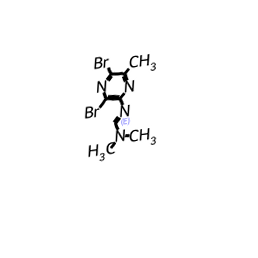 Cc1nc(/N=C/N(C)C)c(Br)nc1Br